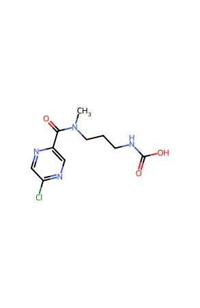 CN(CCCNC(=O)O)C(=O)c1cnc(Cl)cn1